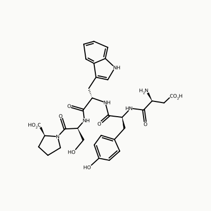 N[C@@H](CC(=O)O)C(=O)N[C@@H](Cc1ccc(O)cc1)C(=O)N[C@@H](Cc1c[nH]c2ccccc12)C(=O)N[C@@H](CO)C(=O)N1CCC[C@H]1C(=O)O